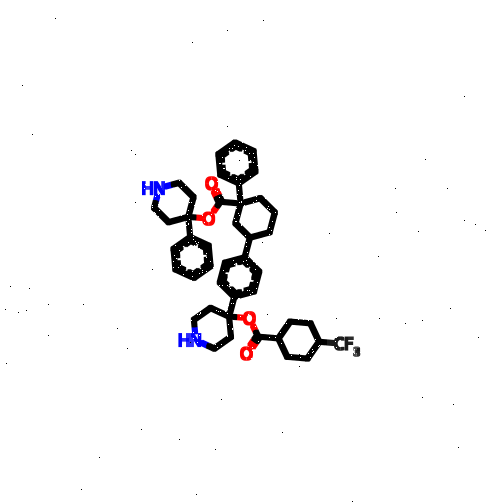 O=C(OC1(c2ccc(C3CCCC(C(=O)OC4(c5ccccc5)CCNCC4)(c4ccccc4)C3)cc2)CCNCC1)C1CCC(C(F)(F)F)CC1